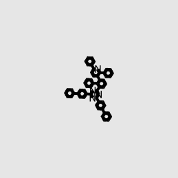 c1ccc(-c2ccc(-c3nc(-c4ccc(-c5ccccc5)cc4)nc(-c4cccc(-c5ccc(-c6ccccc6)nc5-c5ccccc5)c4-c4ccccc4)n3)cc2)cc1